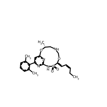 CC/C=C\C=C1/OCNC[C@@H](C)Oc2cc(-c3c(C)cccc3C)nc(n2)NS1(=O)=O